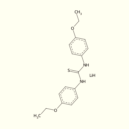 CCOc1ccc(NC(=S)Nc2ccc(OCC)cc2)cc1.[LiH]